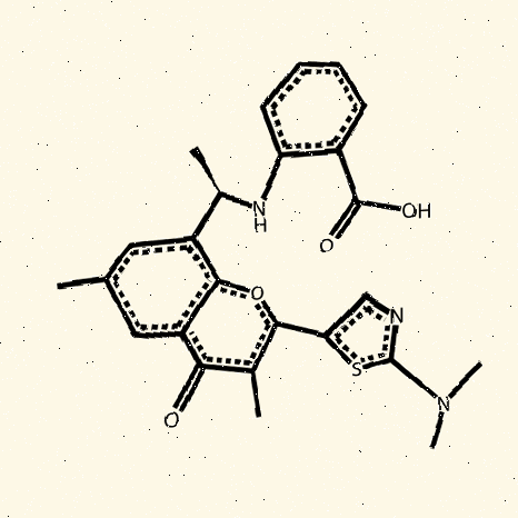 Cc1cc([C@@H](C)Nc2ccccc2C(=O)O)c2oc(-c3cnc(N(C)C)s3)c(C)c(=O)c2c1